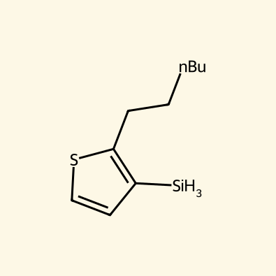 CCCCCCc1sccc1[SiH3]